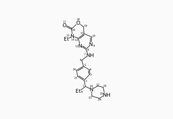 CCC(c1ccc(CNc2ncc3c(n2)N(CC)C(=O)OC3)cc1)N1CCNCC1